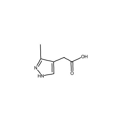 Cc1n[nH]cc1CC(=O)O